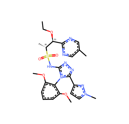 CCO[C@@H](c1ncc(C)cn1)[C@@H](C)S(=O)(=O)Nc1nnc(-c2ccn(C)n2)n1-c1c(OC)cccc1OC